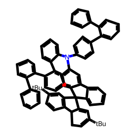 CC(C)(C)C1=CCC2C(=C1)C1(c3ccccc3-c3cc(N(c4ccc(-c5ccccc5-c5ccccc5)cc4)c4ccccc4-c4ccccc4-c4ccccc4-c4ccccc4)ccc31)c1cc(C(C)(C)C)ccc12